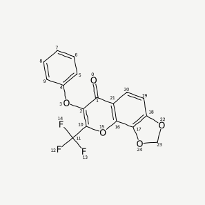 O=c1c(Oc2ccccc2)c(C(F)(F)F)oc2c3c(ccc12)OCO3